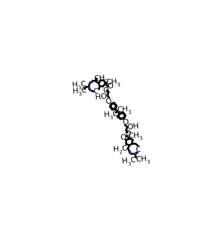 C=C1/C=C\C(C(C)C)=C/CCCC2CC(C)(C(=O)OCC(O)COc3ccc(C(C)(C)c4ccc(OCC(O)COC(=O)C5(C)CCC6C(=C)/C=C\C(C(C)C)=C/CCCC6C5)cc4)cc3)CCC12